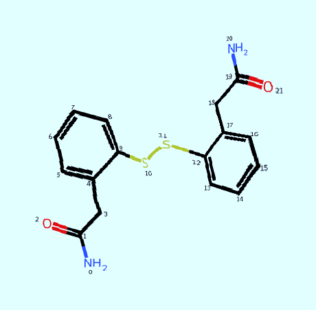 NC(=O)Cc1ccccc1SSc1ccccc1CC(N)=O